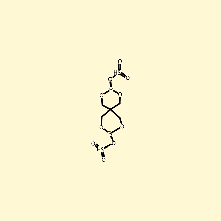 O=[SH](=O)OB1OCC2(CO1)COP(O[SH](=O)=O)OC2